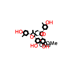 C=C1[C@@H](c2ccc(O)c(C)c2)O[C@@H](c2ccc(OC)c(O)c2)[C@]12CC[C@]13O[C@@]1(C2)[C@@H](c1ccc(O)c(OC)c1)O[C@H]3c1ccc(O)c(C)c1